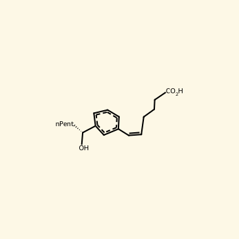 CCCCC[C@@H](O)c1cccc(/C=C\CCCC(=O)O)c1